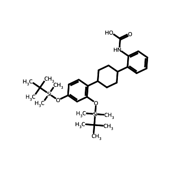 CC(C)(C)[Si](C)(C)Oc1ccc(C2CCC(c3ccccc3NC(=O)O)CC2)c(O[Si](C)(C)C(C)(C)C)c1